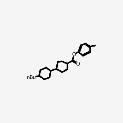 CCCCC1CCC(C2CCC(C(=O)Oc3ccc(C)cc3)CC2)CC1